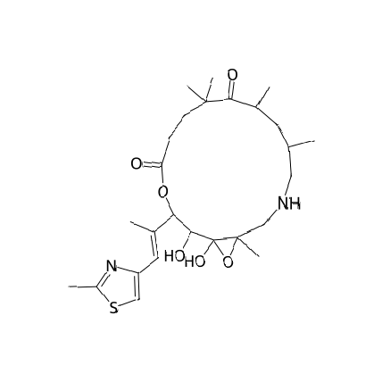 CC(=Cc1csc(C)n1)C1OC(=O)CCC(C)(C)C(=O)C(C)CC(C)CNCC2(C)OC2(O)C1O